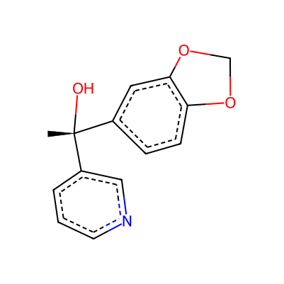 C[C@](O)(c1cccnc1)c1ccc2c(c1)OCO2